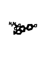 NC(=O)OC1c2ccc(-c3ccc(Cl)cc3)cc2CCC12CC2